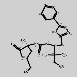 CCCC[C@](C)(NC(=O)O[C@@H](Cc1nnc(-c2ccccc2)o1)C(C)(C)CC)C(=O)O